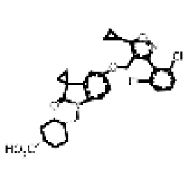 O=C1N(C[C@H]2CC[C@@H](C(=O)O)CC2)c2ccc(OCc3c(-c4c(Cl)cccc4Cl)noc3C3CC3)cc2C12CC2